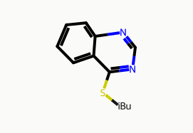 CCC(C)Sc1ncnc2ccccc12